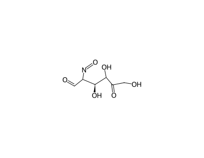 O=CC(N=O)[C@H](O)C(O)C(=O)CO